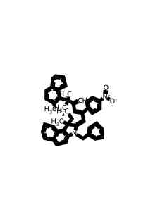 C=C(/C=C(/C=C1/N(Cc2ccccc2)c2ccc3ccccc3c2C1(C)CC)c1ccc([N+](=O)[O-])cc1)C(C)(C)c1c(C)ccc2ccccc12